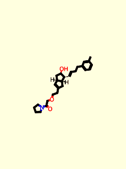 Cc1cccc(CC/C=C/[C@@H]2[C@H]3CC(CCOCC(=O)N4CCCC4)=C[C@H]3C[C@H]2O)c1